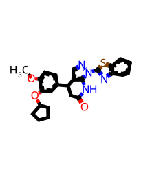 COc1ccc(C2CC(=O)Nc3c2cnn3-c2nc3ccccc3s2)cc1OC1CCCC1